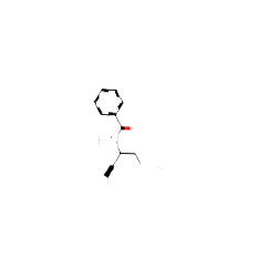 C#CC(CCCCCCCCC)NC(=O)c1ccccc1